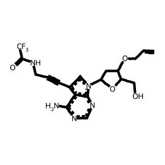 C=CCOC1CC(n2cc(C#CCNC(=O)C(F)(F)F)c3c(N)ncnc32)OC1CO